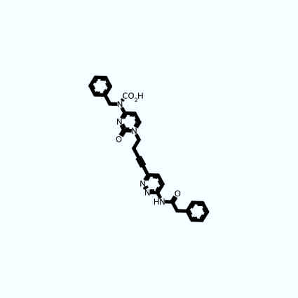 O=C(Cc1ccccc1)Nc1ccc(C#CCCn2ccc(N(Cc3ccccc3)C(=O)O)nc2=O)nn1